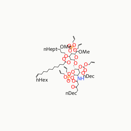 C=CCOC(=O)O[C@H]1[C@H](OCCCCCCCCCC)[C@@H](NC(=O)CC(=O)CCCCCCCCCCC)[C@@H](OP(=O)(OCC=C)OCC=C)O[C@@H]1CO[C@@H]1O[C@H](COC)[C@@H](OP(=O)(OCC=C)OCC=C)[C@H](OCC[C@@H](CCCCCCC)OC)[C@H]1OC(=O)CCCCCCCCC/C=C\CCCCCC